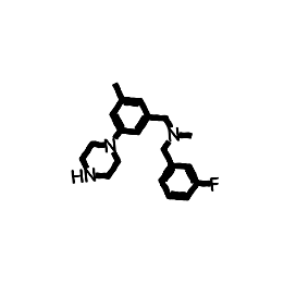 Cc1cc(CN(C)Cc2cccc(F)c2)cc(N2CCNCC2)c1